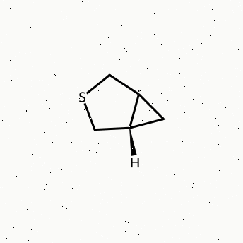 C1SC[C@H]2C[C]12